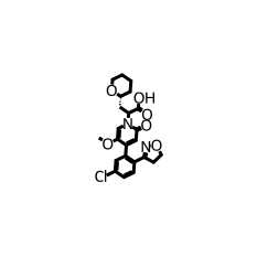 COc1cn(C(C[C@H]2CCCCO2)C(=O)O)c(=O)cc1-c1cc(Cl)ccc1C1=NOCC1